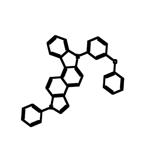 c1ccc(Oc2cccc(-n3c4ccccc4c4c5ccc6c(ccn6-c6ccccc6)c5ccc43)c2)cc1